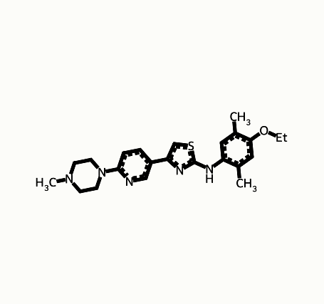 CCOc1cc(C)c(Nc2nc(-c3ccc(N4CCN(C)CC4)nc3)cs2)cc1C